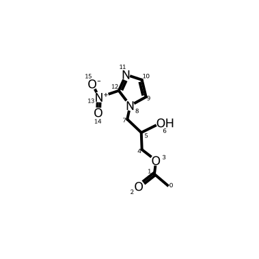 CC(=O)OCC(O)Cn1ccnc1[N+](=O)[O-]